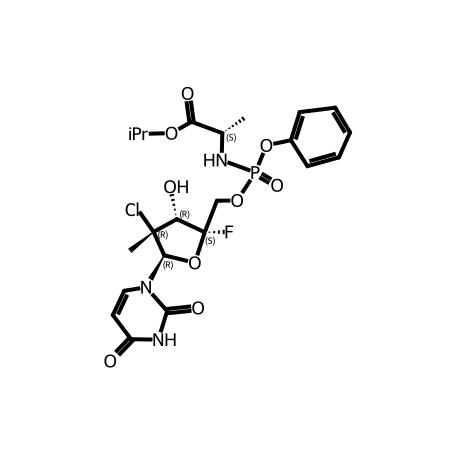 CC(C)OC(=O)[C@H](C)NP(=O)(OC[C@@]1(F)O[C@@H](n2ccc(=O)[nH]c2=O)[C@](C)(Cl)[C@@H]1O)Oc1ccccc1